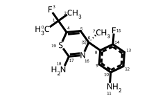 CC(C)(F)C1=C[C@@](C)(c2cc(N)ccc2F)N=C(N)S1